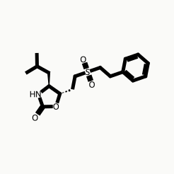 CC(C)C[C@@H]1NC(=O)O[C@H]1CCS(=O)(=O)CCc1ccccc1